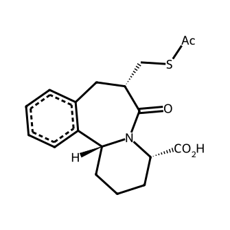 CC(=O)SC[C@H]1Cc2ccccc2[C@H]2CCC[C@@H](C(=O)O)N2C1=O